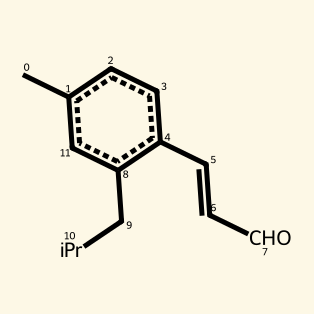 Cc1ccc(C=CC=O)c(CC(C)C)c1